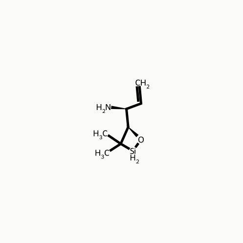 C=C[C@H](N)[C@H]1O[SiH2]C1(C)C